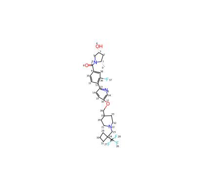 C[C@H]1C[C@@H](O)CN1C(=O)c1ccc(-c2ccc(OCC3CCN(CC4(C(F)(F)F)CCC4)CC3)cn2)c(F)c1